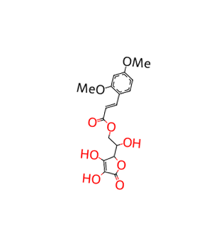 COc1ccc(C=CC(=O)OCC(O)C2OC(=O)C(O)=C2O)c(OC)c1